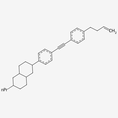 C=CCCc1ccc(C#Cc2ccc(C3CCC4CC(CCC)CCC4C3)cc2)cc1